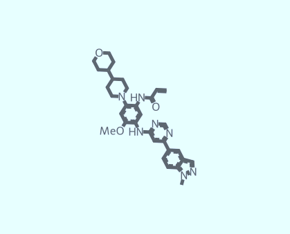 C=CC(=O)Nc1cc(Nc2cc(-c3ccc4c(cnn4C)c3)ncn2)c(OC)cc1N1CCC(C2CCOCC2)CC1